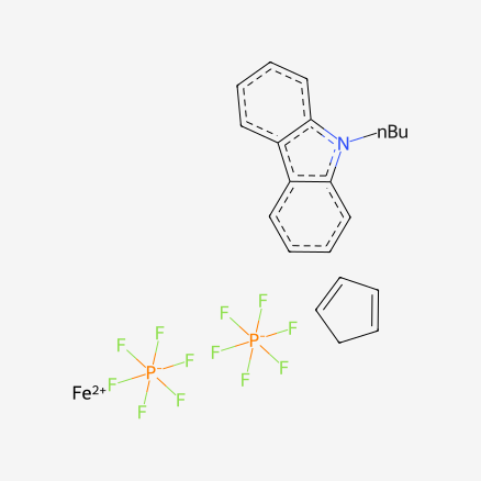 C1=CCC=C1.CCCCn1c2ccccc2c2ccccc21.F[P-](F)(F)(F)(F)F.F[P-](F)(F)(F)(F)F.[Fe+2]